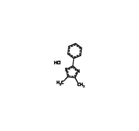 Cc1nc(-c2ccccc2)sc1C.Cl